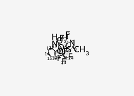 Cc1nc(C(F)F)c(OC(=O)Nc2ccccc2OC(F)(F)C(F)F)s1